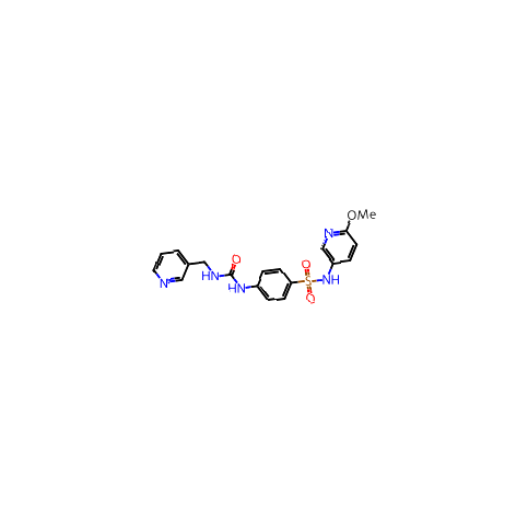 COc1ccc(NS(=O)(=O)c2ccc(NC(=O)NCc3cccnc3)cc2)cn1